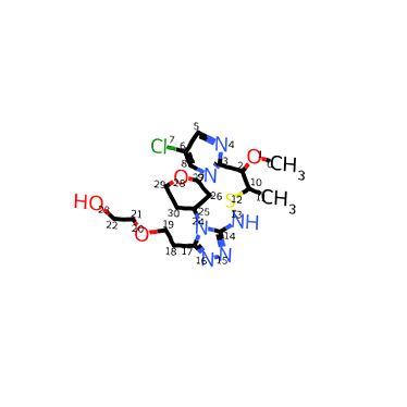 COC(c1ncc(Cl)cn1)C(C)SNc1nnc(CCOCCO)n1C1CCOCC1